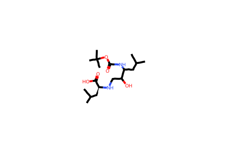 CC(C)CC(NC(=O)OC(C)(C)C)C(O)CN[C@@H](CC(C)C)C(=O)O